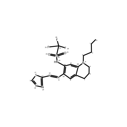 CCCCN1CCCc2cc(N=Nc3nncs3)c(NS(=O)(=O)C(F)(F)F)cc21